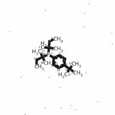 CCC(C)(C)P(c1ccc(C(C)(C)C)cc1)C(C)(C)CC